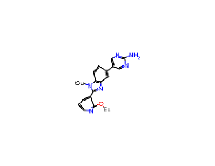 CCOc1ncccc1-c1nc2cc(-c3cnc(N)nc3)ccc2n1C(C)(C)C